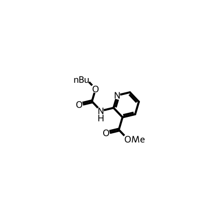 CCCCOC(=O)Nc1ncccc1C(=O)OC